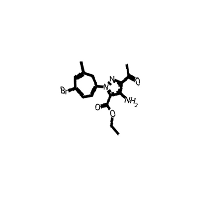 CCOC(=O)c1c(N)c(C(C)=O)nn1C1=CC=C(Br)C=C(C)C1